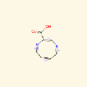 O=C(O)C1=C/N=C\C=C/C=N\1